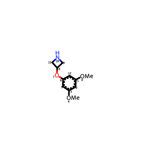 COc1cc(OC)cc(OC2CNC2)c1